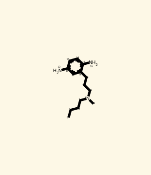 CCCCN(C)CCCc1cc(N)ccc1N